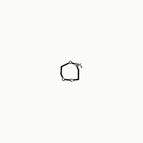 C1COCCO[SiH2]C1